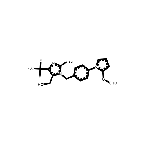 CCCCc1nc(C(F)(F)C(F)(F)F)c(CO)n1Cc1ccc(-n2cccc2OC=O)cc1